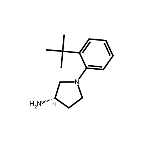 CC(C)(C)c1ccccc1N1CC[C@H](N)C1